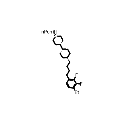 CCCCC[Si@H]1CC[C@H]([C@H]2CC[C@H](CCCCc3ccc(CC)c(F)c3F)CC2)CC1